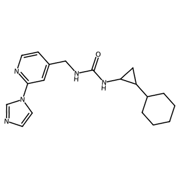 O=C(NCc1ccnc(-n2ccnc2)c1)NC1CC1C1CCCCC1